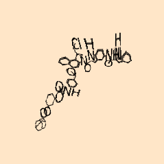 O=C(Nc1ccc(COc2cc3c(c4ccccc24)C(CCl)CN3C(=O)c2cc3cc(NC(=O)c4cc5ccccc5[nH]4)ccc3[nH]2)cc1)OC1CCC[C@@H](OOC2C3CC4CC(C3)CC2C4)C1